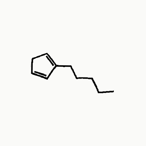 CCCCCC1=CCC=C1